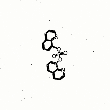 O=S(=O)(Oc1cccc2cccnc12)Oc1cccc2cccnc12